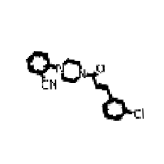 N#Cc1ccccc1N1CCN(C(=O)C=Cc2cccc(Cl)c2)CC1